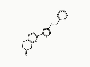 O=C1CCc2ccc(-c3cc(OCc4ccccc4)cs3)cc2C1